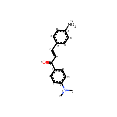 CN(C)c1ccc(C(=O)C=Cc2ccc([N+](=O)[O-])cc2)cc1